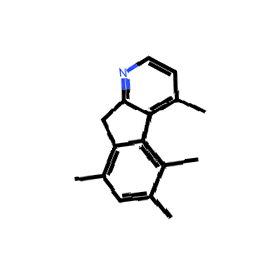 Cc1cc(C)c2c(c1C)-c1c(C)ccnc1C2